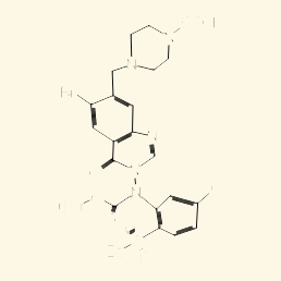 CCS(=O)(=O)c1ccc(Cl)cc1N(C(=O)OC(C)(C)C)n1cnc2cc(CN3CCN(C(=O)O)CC3)c(Br)cc2c1=O